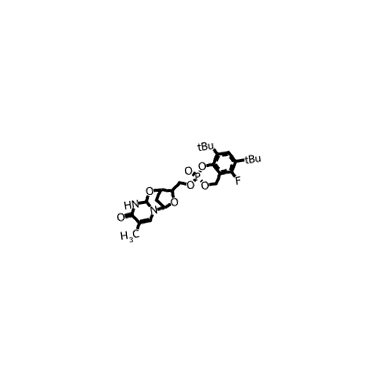 CC1=CN2C3CC(OC2NC1=O)C(COP1(=O)OCc2c(F)c(C(C)(C)C)cc(C(C)(C)C)c2O1)O3